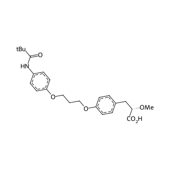 CO[C@@H](Cc1ccc(OCCCOc2ccc(NC(=O)C(C)(C)C)cc2)cc1)C(=O)O